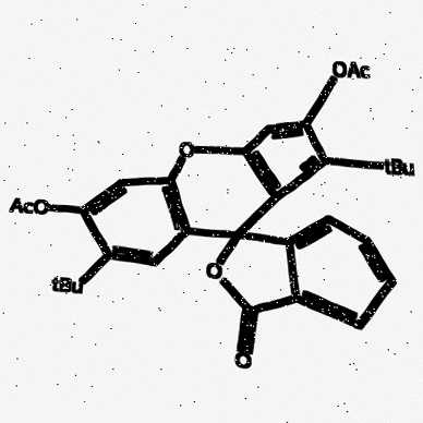 CC(=O)Oc1cc2c(cc1C(C)(C)C)C1(OC(=O)c3ccccc31)c1cc(C(C)(C)C)c(OC(C)=O)cc1O2